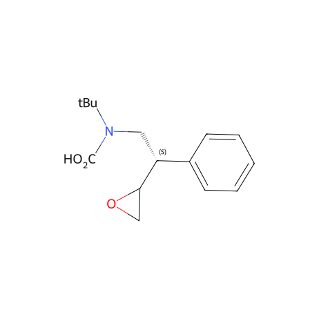 CC(C)(C)N(C[C@H](c1ccccc1)C1CO1)C(=O)O